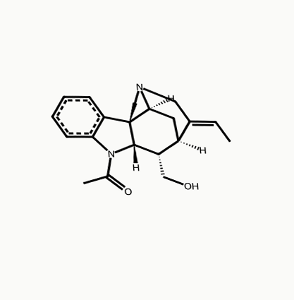 C/C=C1/CN2CC[C@]34c5ccccc5N(C(C)=O)[C@H]3[C@@H](CO)[C@H]1C[C@H]24